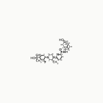 CC1CN(c2ccc(C(C)(C)O)cc2F)CCN1c1cccc(C(=O)NC2C3CC4CC2CC(O)(C4)C3)n1